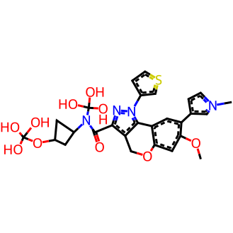 COc1cc2c(cc1-c1ccn(C)c1)-c1c(c(C(=O)N(C3CC(OC(O)(O)O)C3)C(O)(O)O)nn1-c1ccsc1)CO2